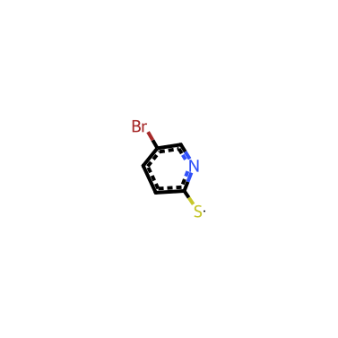 [S]c1ccc(Br)cn1